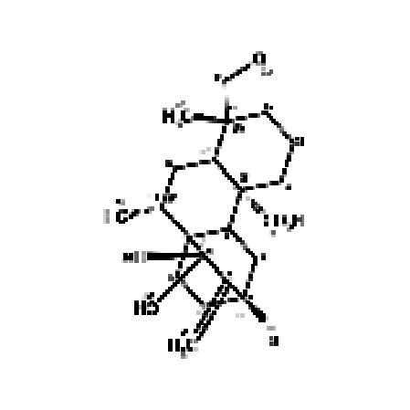 C=C1[C@H]2CCC3(C(C2)[C@]2(C(=O)O)CCC[C@@](C)(CO)C2C[C@H]3O)[C@H]1O